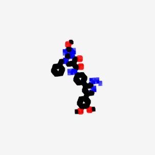 COc1nc2n(Cc3ccccc3)cc(C(=O)Nc3ccc(-c4cc(-c5ccc(OC)c(OC)c5)cnc4N)cc3)c(=O)n2n1